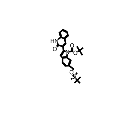 CC(C)(C)OC(=O)n1c(-c2cc3ccccc3[nH]c2=O)cc2ccc(CO[Si](C)(C)C(C)(C)C)cc21